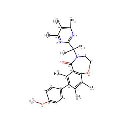 Bc1nc(C(B)(B)N2CCOc3c(B)c(B)c(-c4ccc(OC(F)(F)F)cc4)c(B)c3C2=O)nc(B)c1B